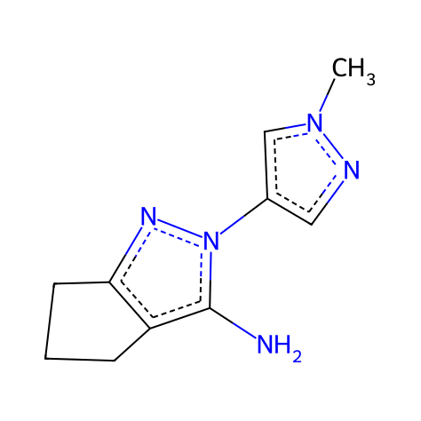 Cn1cc(-n2nc3c(c2N)CCC3)cn1